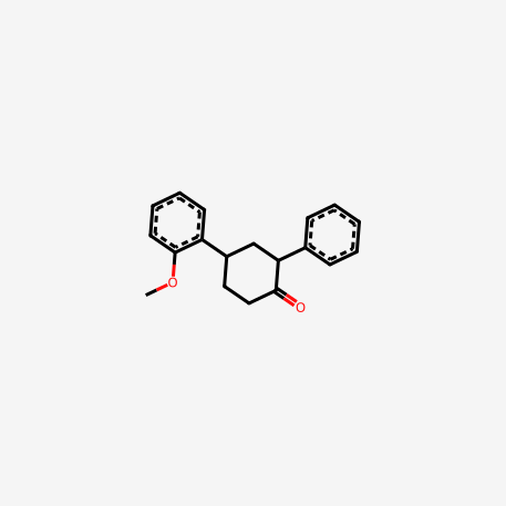 COc1ccccc1C1CCC(=O)C(c2ccccc2)C1